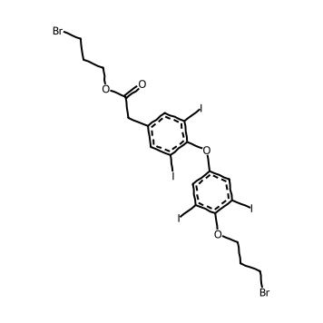 O=C(Cc1cc(I)c(Oc2cc(I)c(OCCCBr)c(I)c2)c(I)c1)OCCCBr